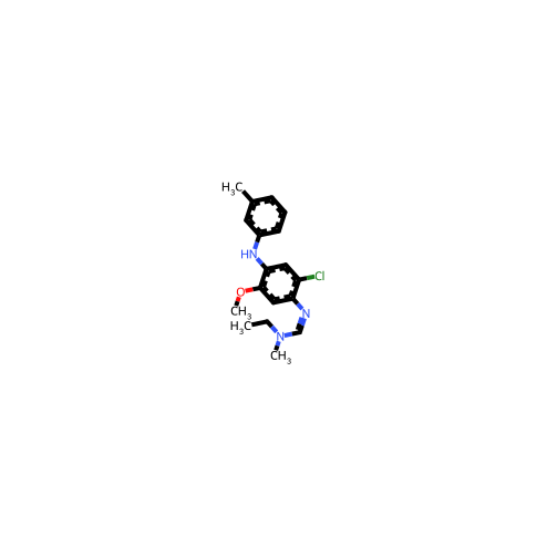 CCN(C)/C=N\c1cc(OC)c(Nc2cccc(C)c2)cc1Cl